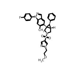 COCCn1cc(S(=O)(=O)N2C[C@H]3[C@H](c4ccccc4)[C@@]3(c3cc4cnn(-c5ccc(F)cc5)c4cc3C)C2)cn1